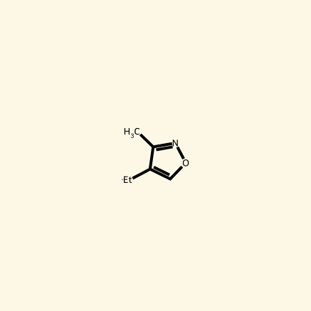 C[CH]c1conc1C